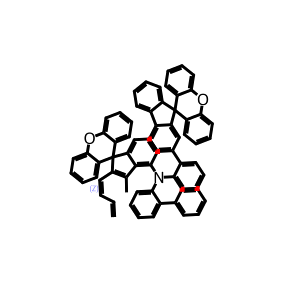 C=C/C=C\C1=C(C)c2c(N(c3ccccc3-c3ccccc3)c3ccccc3-c3ccc4c(c3)C3(c5ccccc5Oc5ccccc53)c3ccccc3-4)cccc2C12c1ccccc1Oc1ccccc12